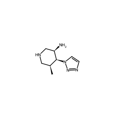 C[C@H]1CNC[C@@H](N)[C@H]1n1ccnn1